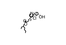 CCCCC(CC)COC(=O)CCSc1ccnc(N2CC[C@H](CO)C2)c1Cl